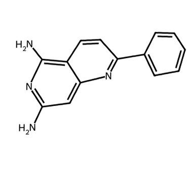 Nc1cc2nc(-c3ccccc3)ccc2c(N)n1